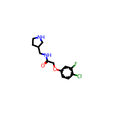 O=C(COc1ccc(Cl)c(F)c1)NCC1CCNC1